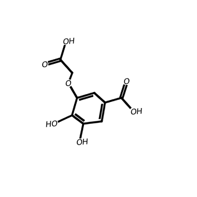 O=C(O)COc1cc(C(=O)O)cc(O)c1O